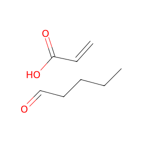 C=CC(=O)O.CCCCC=O